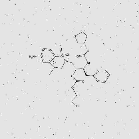 CC1CN(C[C@@H](OC(=O)OCCS)[C@H](Cc2ccccc2)NC(=O)O[C@H]2CCOC2)S(=O)(=O)c2ccc(N)cc21